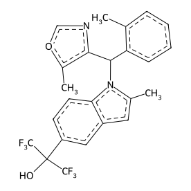 Cc1ccccc1C(c1ncoc1C)n1c(C)cc2cc(C(O)(C(F)(F)F)C(F)(F)F)ccc21